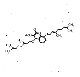 CC(=O)Oc1c(OC/C=C(\C)CCC=C(C)C)c2cccc(OC/C=C(\C)CCC=C(C)C)c2oc1=O